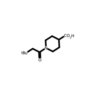 CC(C)(C)CC(=O)N1CCC(C(=O)O)CC1